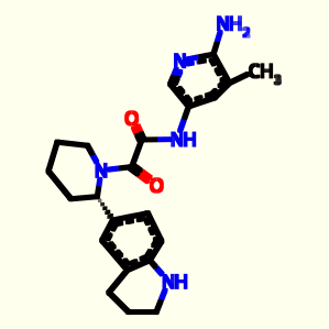 Cc1cc(NC(=O)C(=O)N2CCCC[C@H]2c2ccc3c(c2)CCCN3)cnc1N